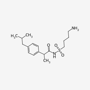 CC(C)Cc1ccc(C(C)C(=O)NS(=O)(=O)CCCCN)cc1